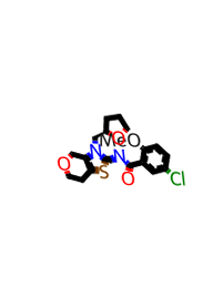 COc1ccc(Cl)cc1C(=O)/N=c1\sc2c(n1C[C@H]1CCCO1)COCC2